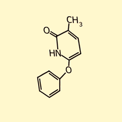 Cc1ccc(Oc2ccccc2)[nH]c1=O